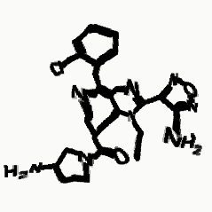 CCn1c(-c2nonc2N)nc2c(-c3ccccc3Cl)ncc(C(=O)N3CCC(N)C3)c21